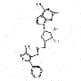 Cc1noc(-c2ccccc2)c1CSC[C@H]1O[C@@H](n2ccc3c(N)nc(F)nc32)[C@H](O)[C@@H]1O